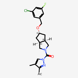 CC(=O)c1nn(C(=O)N2C[C@H]3C[C@H](OCc4cc(F)cc(Cl)c4)C[C@H]3C2)cc1C